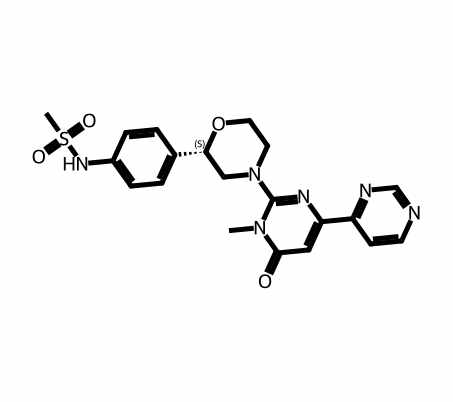 Cn1c(N2CCO[C@@H](c3ccc(NS(C)(=O)=O)cc3)C2)nc(-c2ccncn2)cc1=O